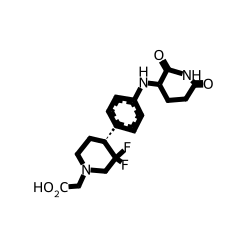 O=C(O)CN1CC[C@H](c2ccc(NC3CCC(=O)NC3=O)cc2)C(F)(F)C1